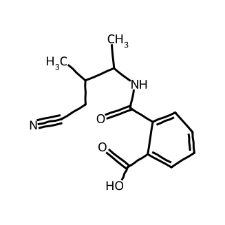 CC(CC#N)C(C)NC(=O)c1ccccc1C(=O)O